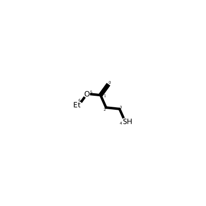 C=C(CCS)OCC